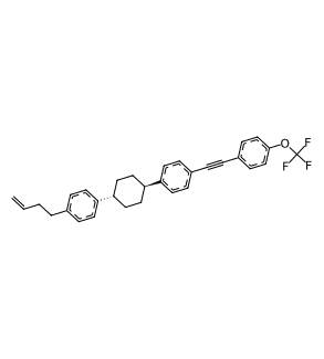 C=CCCc1ccc([C@H]2CC[C@H](c3ccc(C#Cc4ccc(OC(F)(F)F)cc4)cc3)CC2)cc1